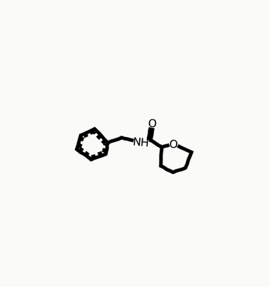 O=C(NCc1ccccc1)C1CCCCO1